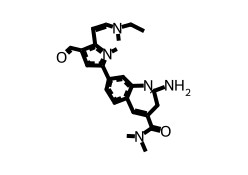 CCN(C)/C=C\c1c(C=O)cc(-c2ccc3c(c2)N=C(N)CC(C(=O)N(C)C)=C3)n1C